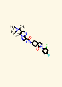 Cc1c(C(C)N(C)C)cnc2c(C(=O)NC3CCC4(CC3)CCN(c3ccc(F)cc3Cl)C4=O)cnn12